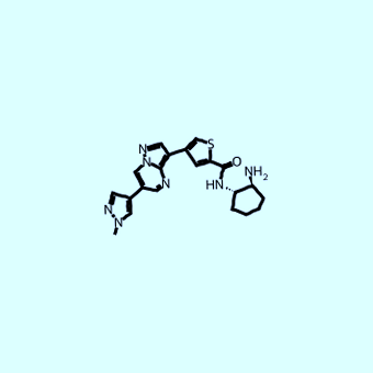 Cn1cc(-c2cnc3c(-c4csc(C(=O)N[C@H]5CCCC[C@@H]5N)c4)cnn3c2)cn1